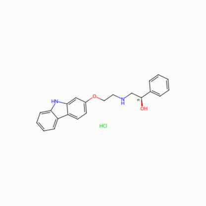 Cl.O[C@@H](CNCCOc1ccc2c(c1)[nH]c1ccccc12)c1ccccc1